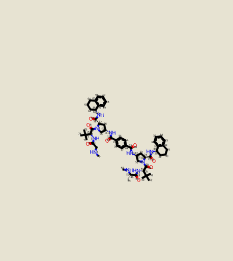 CNCC(=O)N[C@H](C(=O)N1C[C@@H](NC(=O)c2ccc(C(=O)N[C@H]3C[C@@H](C(=O)N[C@@H]4CCCc5ccccc54)N(C(=O)[C@@H](NC(=O)[C@H](C)NC)C(C)(C)C)C3)cc2)C[C@H]1C(=O)N[C@@H]1CCCc2ccccc21)C(C)(C)C